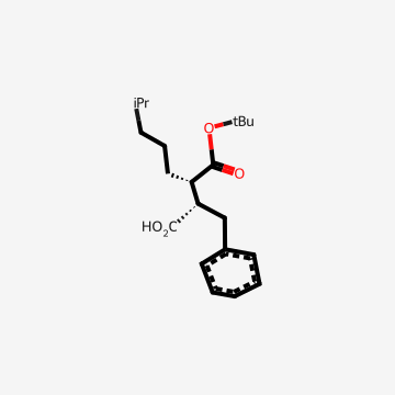 CC(C)CCC[C@H](C(=O)OC(C)(C)C)[C@H](Cc1ccccc1)C(=O)O